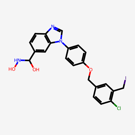 ONC(O)c1ccc2ncn(-c3ccc(OCc4ccc(Cl)c(CI)c4)cc3)c2c1